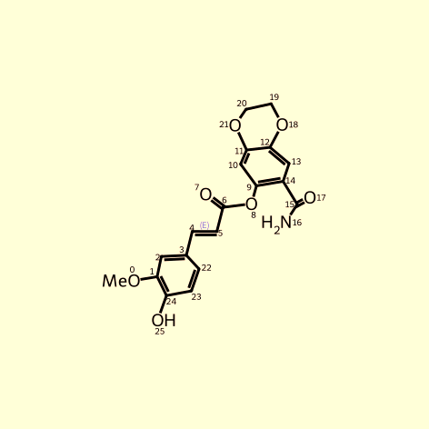 COc1cc(/C=C/C(=O)Oc2cc3c(cc2C(N)=O)OCCO3)ccc1O